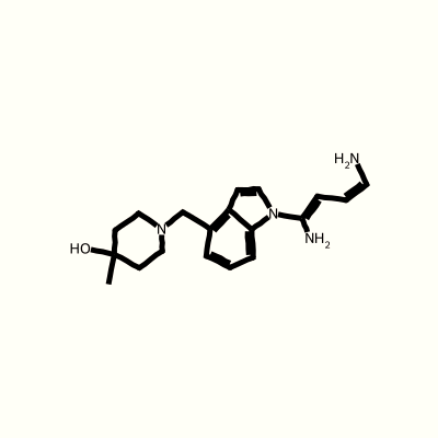 CC1(O)CCN(Cc2cccc3c2ccn3/C(N)=C/C=C\N)CC1